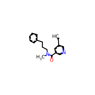 C#Cc1cncc(C(=O)N(C)CCCc2ccccc2)c1